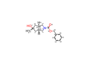 C[C@]1(O)C[C@H]2CN(C(=O)OCc3ccccc3)C[C@H]2C1